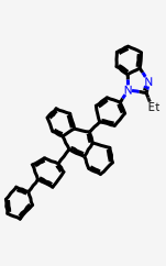 CCc1nc2ccccc2n1-c1ccc(-c2c3ccccc3c(-c3ccc(-c4ccccc4)cc3)c3ccccc23)cc1